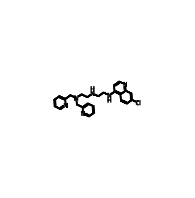 Clc1ccc2c(NCCNCCN(Cc3ccccn3)Cc3ccccn3)ccnc2c1